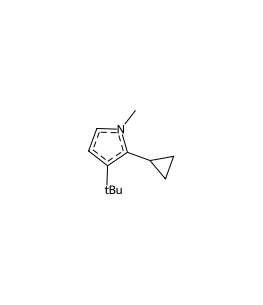 Cn1ccc(C(C)(C)C)c1C1CC1